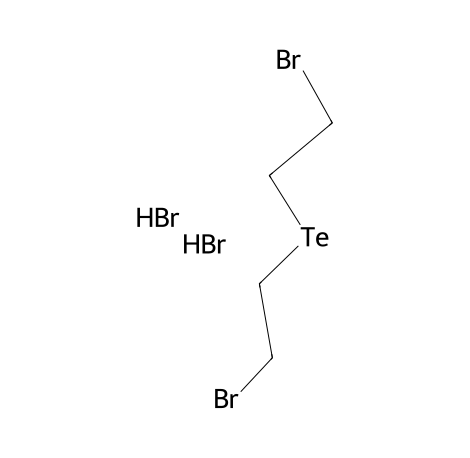 Br.Br.BrCC[Te]CCBr